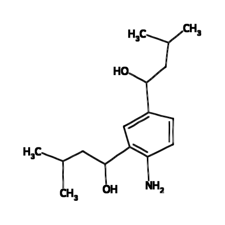 CC(C)CC(O)c1ccc(N)c(C(O)CC(C)C)c1